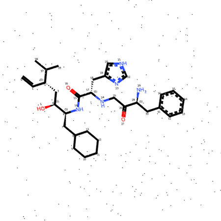 C=C[C@@H](C[C@H](O)[C@H](CC1CCCCC1)NC(=O)[C@H](Cc1c[nH]cn1)NCC(=O)[C@@H](N)Cc1ccccc1)C(C)C